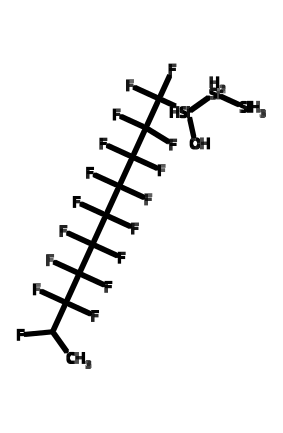 CC(F)C(F)(F)C(F)(F)C(F)(F)C(F)(F)C(F)(F)C(F)(F)C(F)(F)C(F)(F)[SiH](O)[SiH2][SiH3]